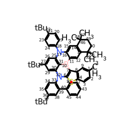 Cc1ccc2sc3c(c2c1)B1c2cc4c(cc2N(c2ccc(C(C)(C)C)cc2)c2cc(C(C)(C)C)cc(c21)N3c1ccc(C(C)(C)C)cc1-c1ccccc1)C(C)(C)CCC4(C)C